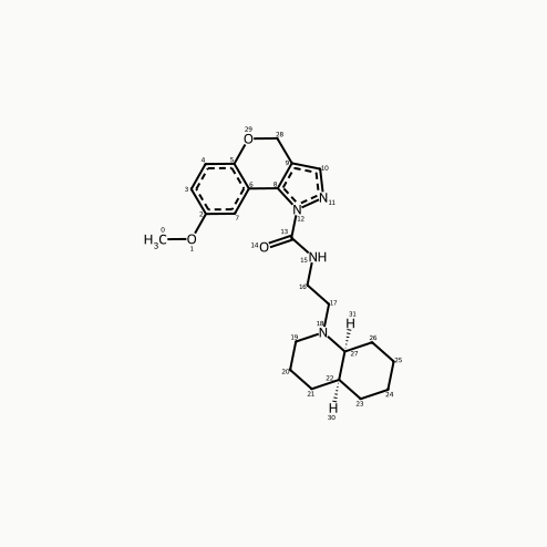 COc1ccc2c(c1)-c1c(cnn1C(=O)NCCN1CCC[C@@H]3CCCC[C@@H]31)CO2